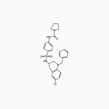 O=C(Nc1ccc(S(=O)(=O)NC2Cc3cc(Cl)ccc3N(Cc3ccccc3)C2)cc1)N1CCCC1